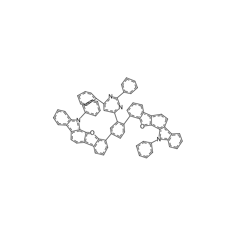 c1ccc(-c2cc(-c3cc(-c4cccc5c4oc4c5ccc5c6ccccc6n(-c6ccccc6)c54)ccc3-c3cccc4c3oc3c4ccc4c5ccccc5n(-c5ccccc5)c43)nc(-c3ccccc3)n2)cc1